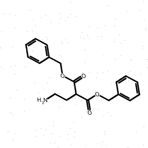 NCCC(C(=O)OCc1ccccc1)C(=O)OCc1ccccc1